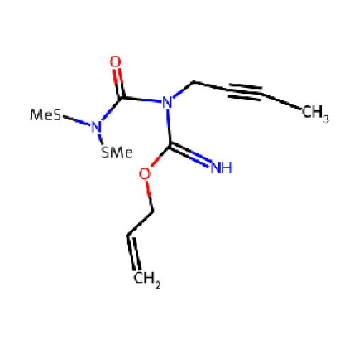 C=CCOC(=N)N(CC#CC)C(=O)N(SC)SC